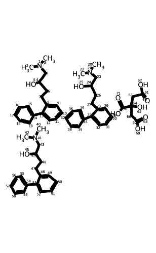 CN(C)CC(O)CCc1ccccc1-c1ccccc1.CN(C)CC(O)CCc1ccccc1-c1ccccc1.CN(C)CC(O)CCc1ccccc1-c1ccccc1.O=C(O)CC(O)(CC(=O)O)C(=O)O